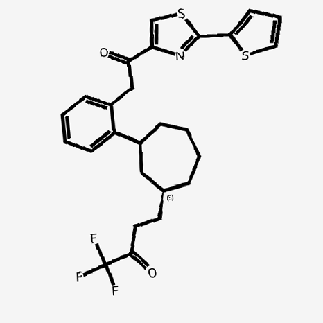 O=C(Cc1ccccc1C1CCCC[C@@H](CCC(=O)C(F)(F)F)C1)c1csc(-c2cccs2)n1